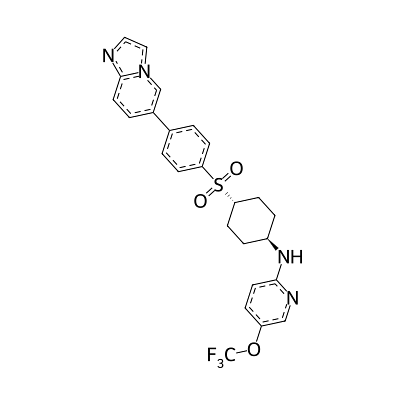 O=S(=O)(c1ccc(-c2ccc3nccn3c2)cc1)[C@H]1CC[C@H](Nc2ccc(OC(F)(F)F)cn2)CC1